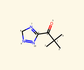 CC(C)(C)C(=O)C1=NCN=N1